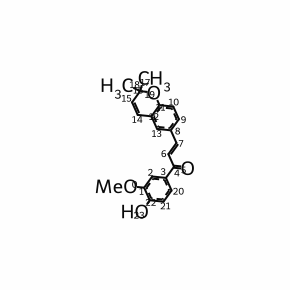 COc1cc(C(=O)C=Cc2ccc3c(c2)C=CC(C)(C)O3)ccc1O